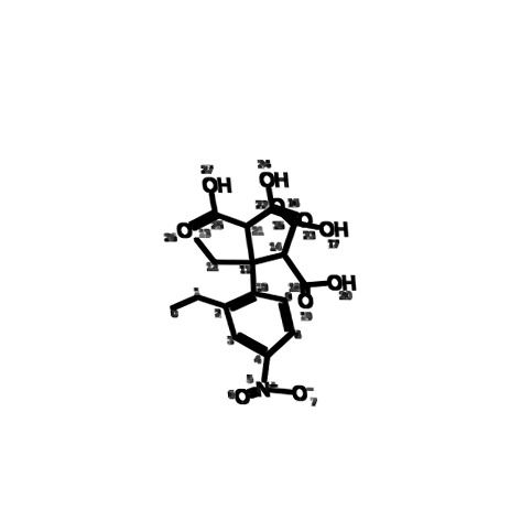 CCc1cc([N+](=O)[O-])ccc1C(CC)(C(C(=O)O)C(=O)O)C(C(=O)O)C(=O)O